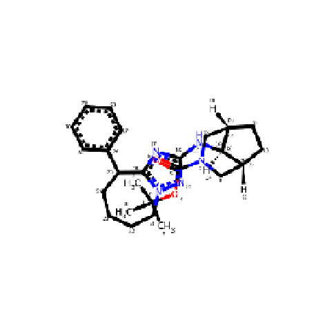 CC(C)(C)OC(=O)N1C[C@H]2CC[C@@H](C1)[C@@H]2Nc1nc2n(n1)CCCCC2c1ccccc1